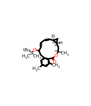 Cc1cc(C)c2c(c1)CC(O[Si](C)(C)C(C)(C)C)/C=C/C=C\[C@H]1C[C@@H]1C[C@@H](C)OC2=O